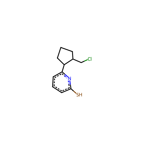 Sc1cccc(C2CCCC2CCl)n1